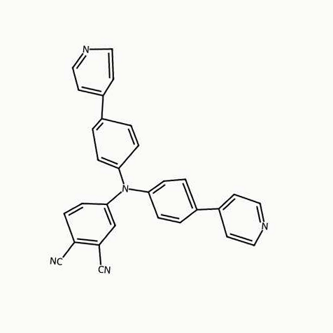 N#Cc1ccc(N(c2ccc(-c3ccncc3)cc2)c2ccc(-c3ccncc3)cc2)cc1C#N